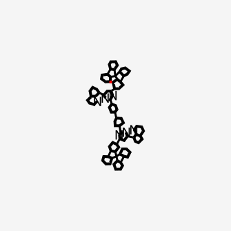 c1ccc2c(c1)-c1ccccc1C21c2ccccc2-c2ccc(-c3cc(-c4cccc5cccnc45)nc(-c4ccc(-c5ccc(-c6nc(-c7ccc8c(c7)C7(c9ccccc9-c9ccccc97)c7ccccc7-8)cc(-c7cccc8cccnc78)n6)cc5)cc4)n3)cc21